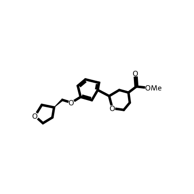 COC(=O)C1CCOC(c2cccc(OC[C@H]3CCOC3)c2)C1